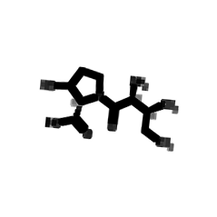 CC[C@H](C)[C@H](N)C(=O)N1CCC(O)[C@H]1C(=O)O